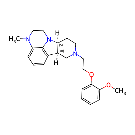 COc1ccccc1OCCN1CC[C@H]2[C@@H](C1)c1cccc3c1N2CCN3C